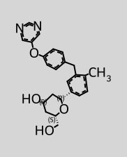 Cc1ccc([C@H]2C[C@@H](O)C[C@@H](CO)O2)cc1Cc1ccc(Oc2cncnc2)cc1